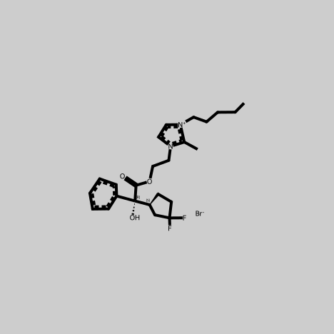 CCCCC[n+]1ccn(CCOC(=O)[C@](O)(c2ccccc2)[C@H]2CCC(F)(F)C2)c1C.[Br-]